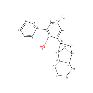 Oc1c(-c2ccccc2)cc(Cl)cc1C1CC2CC1C1CCCCC21